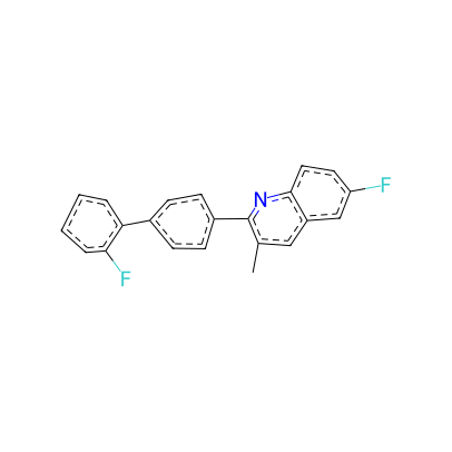 Cc1cc2cc(F)ccc2nc1-c1ccc(-c2ccccc2F)cc1